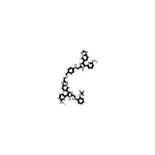 Cc1cccc(-c2[nH]c(CNc3ccc(COCc4nc5ccc(-c6nc(CNc7ccccc7OC(F)(F)F)[nH]c6-c6cccc(C)n6)cn5n4)cc3)nc2-c2ccc3ncnn3c2)n1